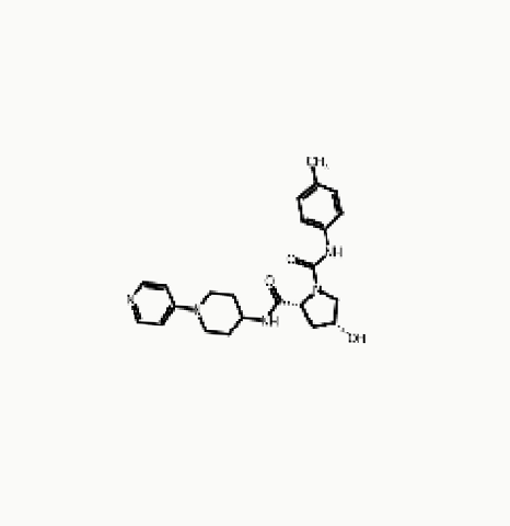 Cc1ccc(NC(=O)N2C[C@H](O)C[C@@H]2C(=O)NC2CCN(c3ccncc3)CC2)cc1